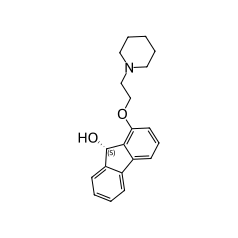 O[C@H]1c2ccccc2-c2cccc(OCCN3CCCCC3)c21